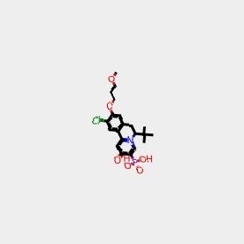 COCCCOc1cc2c(cc1Cl)-c1cc(=O)c(P(=O)(O)O)cn1C(C(C)(C)C)C2